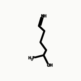 N=CCCCC(O)P